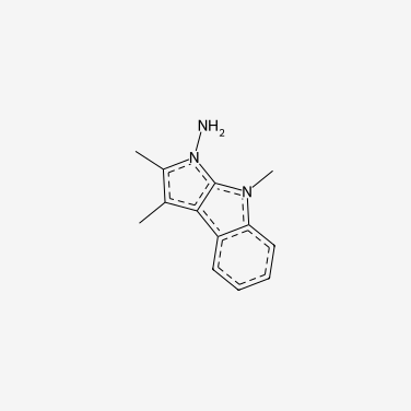 Cc1c(C)n(N)c2c1c1ccccc1n2C